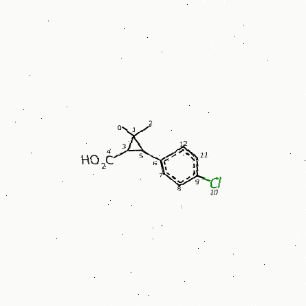 CC1(C)C(C(=O)O)C1c1ccc(Cl)cc1